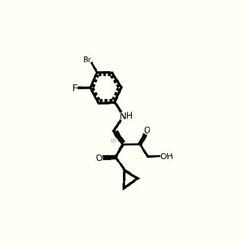 O=C(CO)/C(=C\Nc1ccc(Br)c(F)c1)C(=O)C1CC1